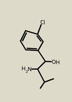 CC(C)C(N)C(O)c1cccc(Cl)c1